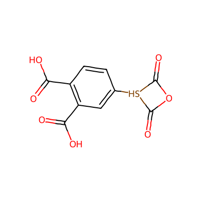 O=C(O)c1ccc([SH]2C(=O)OC2=O)cc1C(=O)O